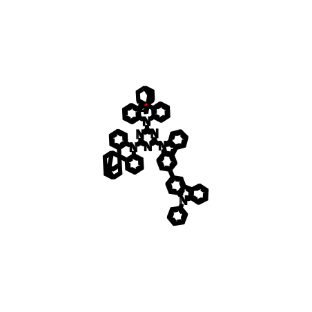 c1ccc(-n2c3ccccc3c3cc(-c4ccc5c(c4)c4ccccc4n5-c4nc(N5c6ccccc6C6(c7ccccc75)C5CC7CC(C5)CC6C7)nc(N5c6ccccc6C6(c7ccccc75)C5CC7CC(C5)CC6C7)n4)ccc32)cc1